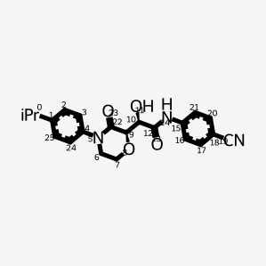 CC(C)c1ccc(N2CCO[C@H]([C@@H](O)C(=O)Nc3ccc(C#N)cc3)C2=O)cc1